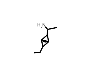 CCC1C2=C1C2C(C)N